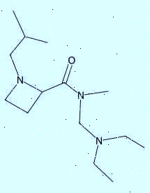 CCN(CC)CN(C)C(=O)C1CCN1CC(C)C